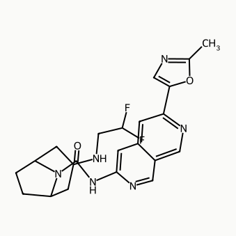 Cc1ncc(-c2cc3cc(NC(=O)N4C5CCC4CC(NCC(F)F)C5)ncc3cn2)o1